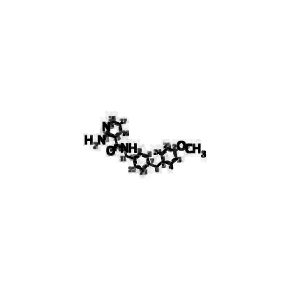 COc1ccc(Cc2ccc(CNC(=O)c3cccnc3N)cc2)cc1